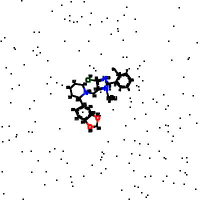 CCCCn1c(-c2ccccc2C)nc(Cl)c1CN1CCCCC1c1ccc2c(c1)OCO2